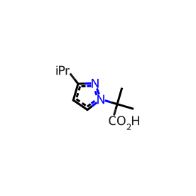 CC(C)c1ccn(C(C)(C)C(=O)O)n1